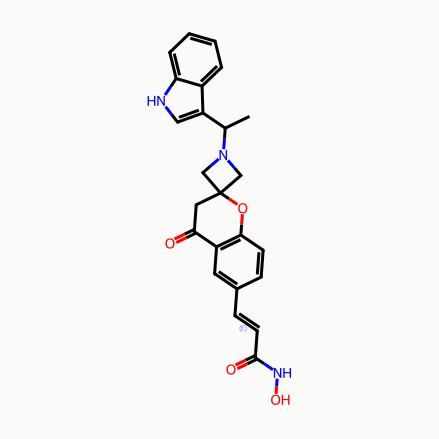 CC(c1c[nH]c2ccccc12)N1CC2(CC(=O)c3cc(/C=C/C(=O)NO)ccc3O2)C1